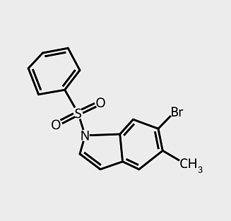 Cc1cc2ccn(S(=O)(=O)c3ccccc3)c2cc1Br